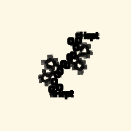 CCCCCCCOC(=O)Oc1ccccc1C(=O)c1ccccc1C(=O)OOC(=O)c1ccccc1C(=O)c1ccccc1OC(=O)OCCCCCCC